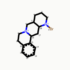 BrN1CCCC2CN3CCc4ccccc4C3CC21